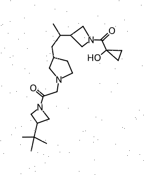 CC(CC1CCN(CC(=O)N2CC(C(C)(C)C)C2)C1)C1CN(C(=O)C2(O)CC2)C1